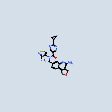 Cc1nscc1N(Cc1ccc2c3c(c(N)nc2c1)COC3)C(=O)c1cnc(C2CC2)nc1